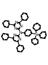 c1ccc(-c2cc(-c3ccccc3)nc(N(c3ccc([Si](c4ccccc4)(c4ccccc4)c4ccccc4)cc3)c3nc(-c4ccccc4)nc(-c4ccccc4)n3)n2)cc1